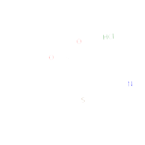 Cl.O=C(OC1CCCC1)C1CSC23C=CC=CC2=NCCC13